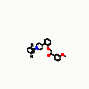 COc1cccc(C(=O)COc2ccccc2C2CCN([C@H]3C[C@H]4CC[C@H]3C4)CC2)c1